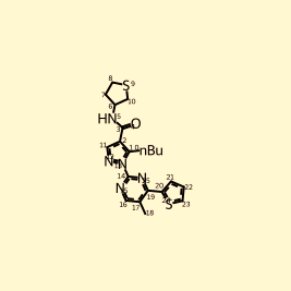 CCCCc1c(C(=O)NC2CCSC2)cnn1-c1ncc(C)c(-c2cccs2)n1